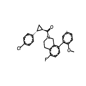 COc1cc[c]cc1-c1ccc(F)c2c1CN(C(=O)[C@@H]1C[C@H]1c1ccc(Cl)cc1)CC2